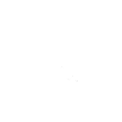 CCC1C(=O)NC2=Nc3ccc(OCCCCCCCCO)c(OC)c3CN21